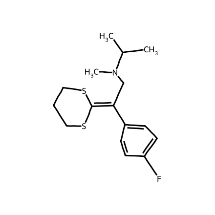 CC(C)N(C)CC(=C1SCCCS1)c1ccc(F)cc1